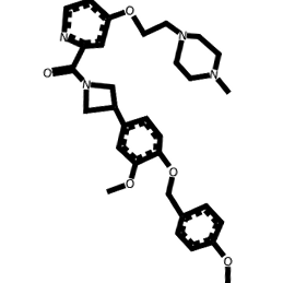 COc1ccc(COc2ccc(C3CN(C(=O)c4cc(OCCN5CCN(C)CC5)ccn4)C3)cc2OC)cc1